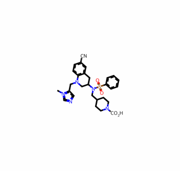 Cn1cncc1CN1CC(N(CC2CCN(C(=O)O)CC2)S(=O)(=O)c2ccccc2)Cc2cc(C#N)ccc21